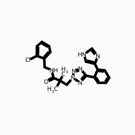 CC(C)(Cn1nnc(-c2ccccc2-c2c[nH]cn2)n1)C(=O)NCc1ccccc1Cl